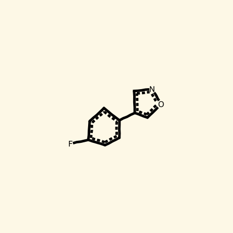 Fc1ccc(-c2cnoc2)cc1